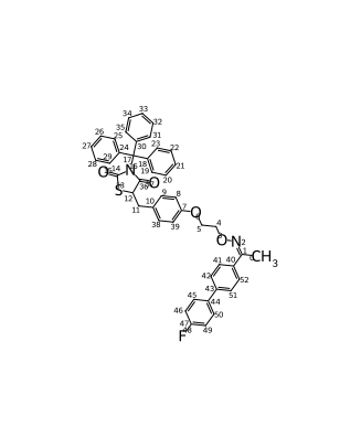 C/C(=N/OCCOc1ccc(CC2SC(=O)N(C(c3ccccc3)(c3ccccc3)c3ccccc3)C2=O)cc1)c1ccc(-c2ccc(F)cc2)cc1